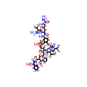 CCC(C)C(C(CC(=O)N1CCC[C@H]1C(OC)C(C)C(=O)NC(C)C(O)c1ccccc1)OC)N(C)C(=O)C(NC(=O)C(C(C)C)N(C)C(=O)OCc1ccc(NC(=O)C(CCCNC(N)=O)NC(=O)C(N)C(C)C)cc1CS(=O)(=O)O)C(C)C